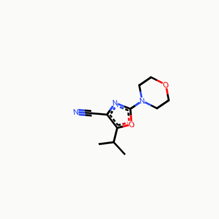 CC(C)c1oc(N2CCOCC2)nc1C#N